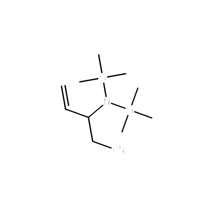 C=CC(CC#N)N([Si](C)(C)C)[Si](C)(C)C